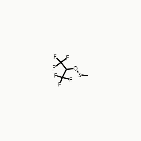 CSOC(C(F)(F)F)C(F)(F)F